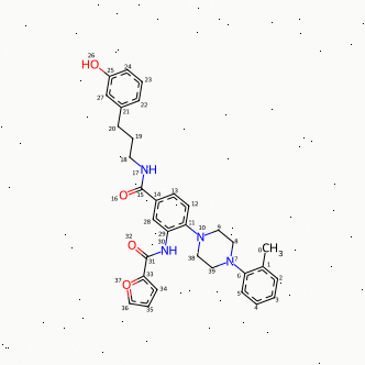 Cc1ccccc1N1CCN(c2ccc(C(=O)NCCCc3cccc(O)c3)cc2NC(=O)c2ccco2)CC1